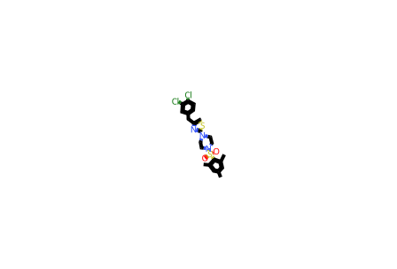 Cc1cc(C)c(S(=O)(=O)N2CCN(c3nc(Cc4ccc(Cl)c(Cl)c4)cs3)CC2)c(C)c1